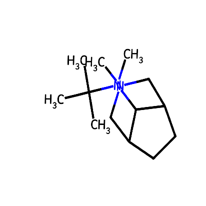 CN1CC2CCC(C1)C2N(C)C(C)(C)C